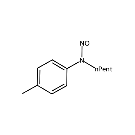 CCCCCN(N=O)c1ccc(C)cc1